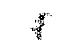 N#Cc1cc(-c2ccnc(Nc3ccc(SN)cc3)n2)ccc1OC1CCOCC1